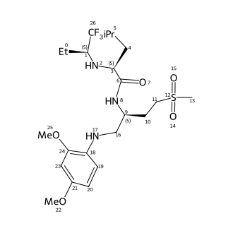 CC[C@H](N[C@@H](CC(C)C)C(=O)N[C@@H](CCS(C)(=O)=O)CNc1ccc(OC)cc1OC)C(F)(F)F